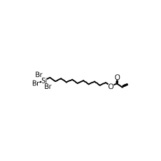 C=CC(=O)OCCCCCCCCCCC[Si](Br)(Br)Br